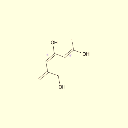 C=C(/C=C(O)\C=C(/C)O)CO